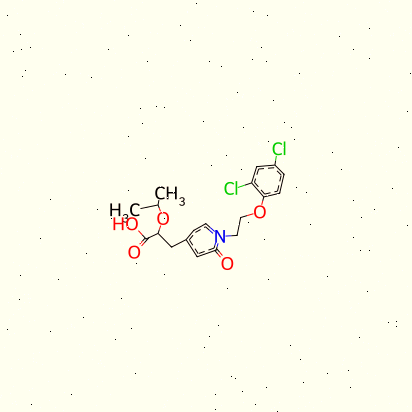 CC(C)OC(Cc1ccn(CCOc2ccc(Cl)cc2Cl)c(=O)c1)C(=O)O